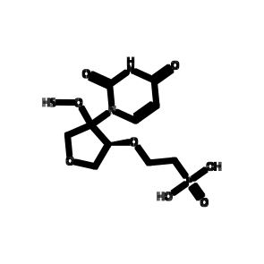 O=c1ccn(C2(OS)COC[C@@H]2OCCP(=O)(O)O)c(=O)[nH]1